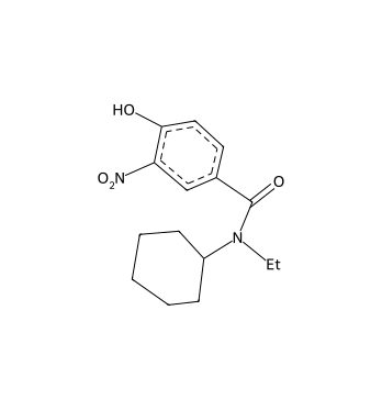 CCN(C(=O)c1ccc(O)c([N+](=O)[O-])c1)C1CCCCC1